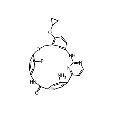 Nc1cc2ccc1-c1ccnc(n1)Nc1ccc(OC3CC3)c(c1)COc1ccc(cc1F)NC2=O